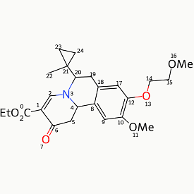 CCOC(=O)C1=CN2C(CC1=O)c1cc(OC)c(OCCOC)cc1CC2C1(C)CC1